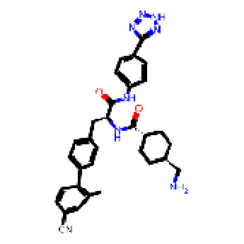 Cc1cc(C#N)ccc1-c1ccc(C[C@H](NC(=O)[C@H]2CC[C@H](CN)CC2)C(=O)Nc2ccc(-c3nn[nH]n3)cc2)cc1